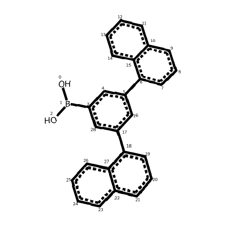 OB(O)c1cc(-c2cccc3ccccc23)cc(-c2cccc3ccccc23)c1